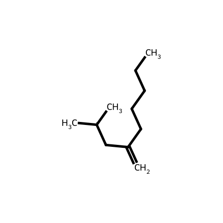 C=C(CCCCC)C[C](C)C